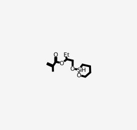 C=C(C)C(=O)OC(CC)CO[SiH]1CCCCO1